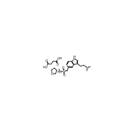 C1CCOC1.CNS(=O)(=O)Cc1ccc2[nH]cc(CCN(C)C)c2c1.O=C(O)CCC(=O)O